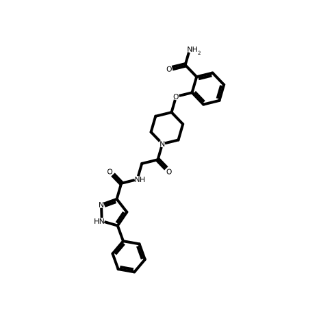 NC(=O)c1ccccc1OC1CCN(C(=O)CNC(=O)c2cc(-c3ccccc3)[nH]n2)CC1